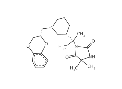 CC1(C)NC(=O)N(C(C)(C)[C@H]2CCCN(C[C@H]3COc4ccccc4O3)C2)C1=O